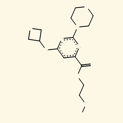 COCCOC(=O)c1cc(NC2COC2)nc(N2CCOCC2)n1